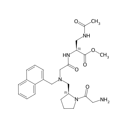 COC(=O)[C@H](CNC(C)=O)NC(=O)CN(Cc1cccc2ccccc12)C[C@@H]1CCCN1C(=O)CN